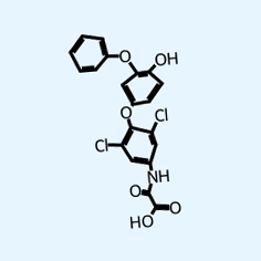 O=C(O)C(=O)Nc1cc(Cl)c(Oc2ccc(O)c(Oc3ccccc3)c2)c(Cl)c1